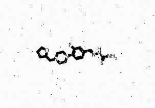 NC(=S)NN=Cc1ccc(N2CCN(CC3CCCO3)CC2)c(F)c1